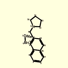 BOC.c1ccc2cc(CN3CCCC3)ccc2c1